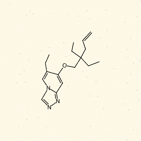 C=CCC(CC)(CC)COc1cc2nncn2cc1CC